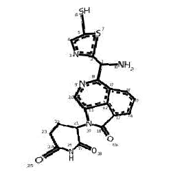 NC(c1ncc(S)s1)c1ncc2c3c(cccc13)C(=O)N2C1CCC(=O)NC1=O